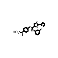 O=S(=O)(O)Nc1ccc(C[C@H](Nc2cccc(F)c2)c2csc(-c3cccs3)n2)cc1